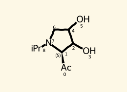 CC(=O)[C@@H]1C(O)C(O)CN1C(C)C